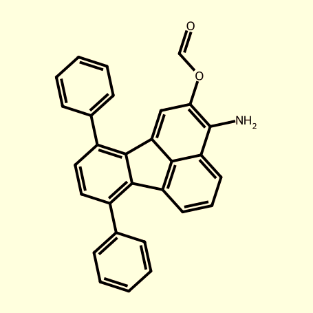 Nc1c(OC=O)cc2c3c(cccc13)-c1c(-c3ccccc3)ccc(-c3ccccc3)c1-2